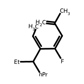 C=C(C)/C=C(F)\C(=C/C)C(CC)CCC